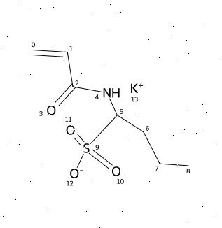 C=CC(=O)NC(CCC)S(=O)(=O)[O-].[K+]